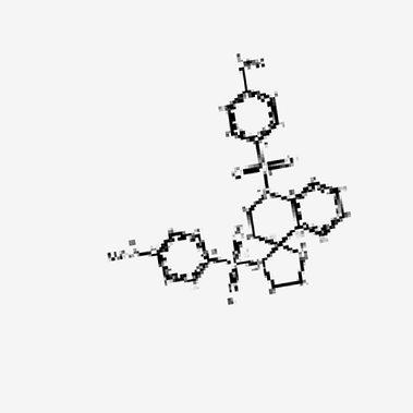 COc1ccc(S(=O)(=O)N2CCC3(OCCN3S(=O)(=O)c3ccc(OC)cc3)c3ccccc32)cc1